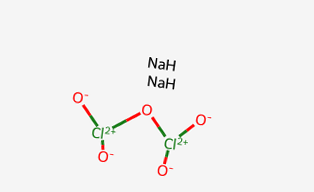 [NaH].[NaH].[O-][Cl+2]([O-])O[Cl+2]([O-])[O-]